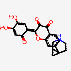 O=C1C=C(O)C(O)=C/C1=C1/Oc2cc(C34CCNC5C3C54)ccc2C(=O)C1=O